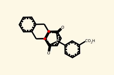 O=C(O)c1cccc(N2C(=O)C3=C(C2=O)C2c4ccccc4C3c3ccccc32)c1